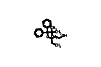 CCC(CCO)O[Si](c1ccccc1)(c1ccccc1)C(C)(C)C